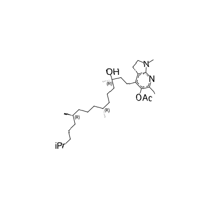 CC(=O)Oc1c(C)nc2c(c1CC[C@](C)(O)CCC[C@H](C)CCC[C@H](C)CCCC(C)C)CCN2C